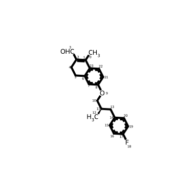 CC1=C(C=O)CCc2cc(OC[C@H](C)Cc3ccc(F)cc3)ccc21